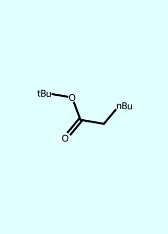 [CH2]CCCCC(=O)OC(C)(C)C